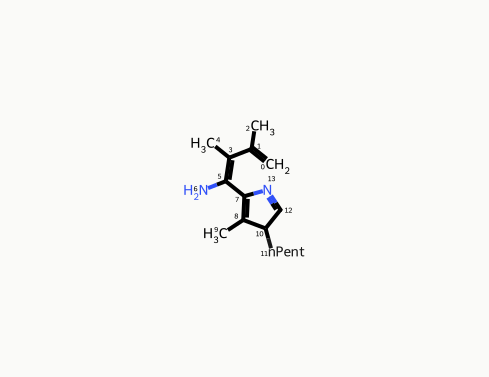 C=C(C)/C(C)=C(/N)C1=C(C)C(CCCCC)C=N1